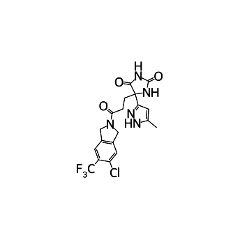 Cc1cc(C2(CCC(=O)N3Cc4cc(Cl)c(C(F)(F)F)cc4C3)NC(=O)NC2=O)n[nH]1